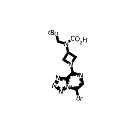 CC(C)(C)CN(C(=O)O)C1CN(c2ncc(Br)n3nnnc23)C1